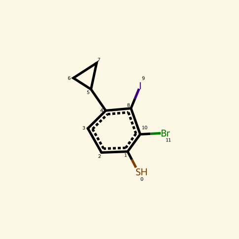 Sc1ccc(C2CC2)c(I)c1Br